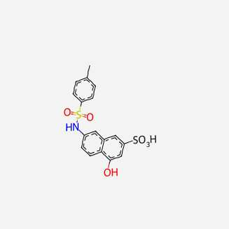 Cc1ccc(S(=O)(=O)Nc2ccc3c(O)cc(S(=O)(=O)O)cc3c2)cc1